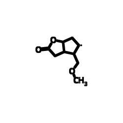 COCC1[CH]CC2OC(=O)CC12